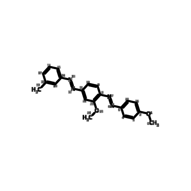 COc1ccc(/N=N/c2ccc(/N=N/c3cccc(C)c3)cc2OC)cc1